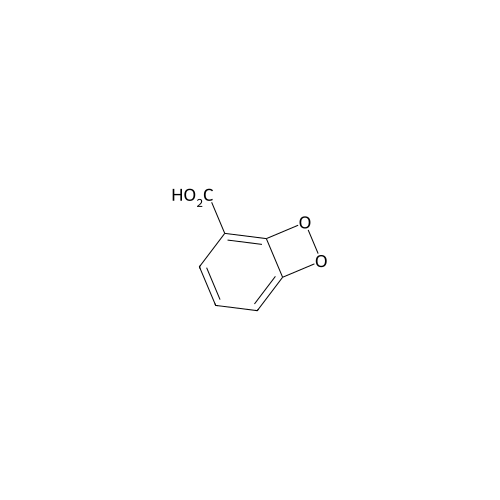 O=C(O)c1cccc2ooc12